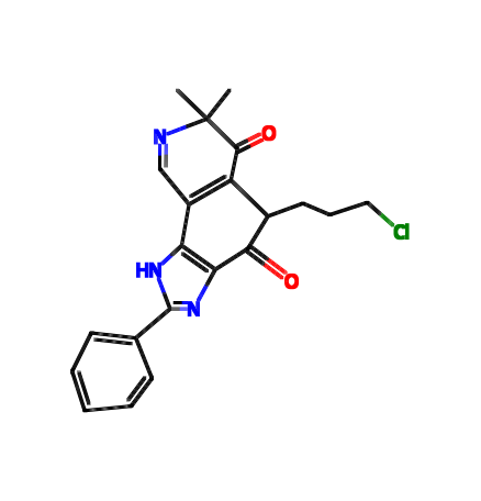 CC1(C)N=CC2=C(C1=O)C(CCCCl)C(=O)c1nc(-c3ccccc3)[nH]c12